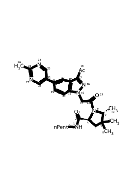 CCCCCNC(=O)[C@@H]1CC(C)(C)[C@@H](C)N1C(=O)Cn1nc(C(C)=O)c2cc(-c3cnc(C)nc3)ccc21